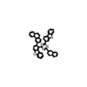 C1=CC2C=Cc3ccc(-c4ccc5oc6ccccc6c5c4-c4nc(-c5ccc6ccccc6c5)nc(-c5ccc6c(c5)sc5ccccc56)n4)cc3C2C=C1